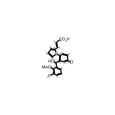 COc1c(F)cccc1C(O)c1cc(Cl)ccc1-n1cccc1C=CC(=O)O